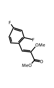 COC(=O)/C(=C/c1ccc(F)cc1F)OC